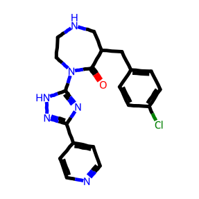 O=C1C(Cc2ccc(Cl)cc2)CNCCN1c1nc(-c2ccncc2)n[nH]1